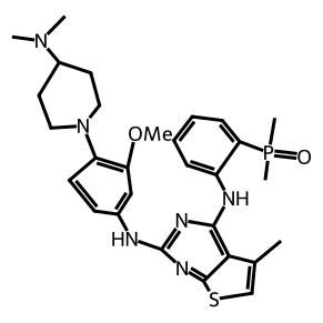 COc1cc(Nc2nc(Nc3ccccc3P(C)(C)=O)c3c(C)csc3n2)ccc1N1CCC(N(C)C)CC1